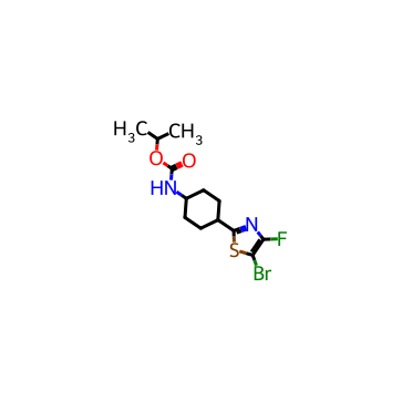 CC(C)OC(=O)NC1CCC(c2nc(F)c(Br)s2)CC1